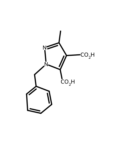 Cc1nn(Cc2ccccc2)c(C(=O)O)c1C(=O)O